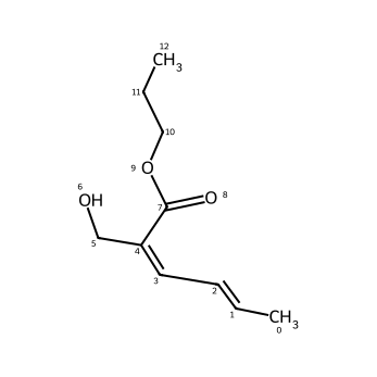 CC=CC=C(CO)C(=O)OCCC